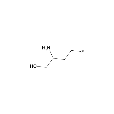 NC(CO)CCF